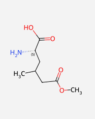 COC(=O)CC(C)C[C@H](N)C(=O)O